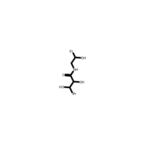 CCC(O)CNC(=O)C(O)C(O)C(C)C